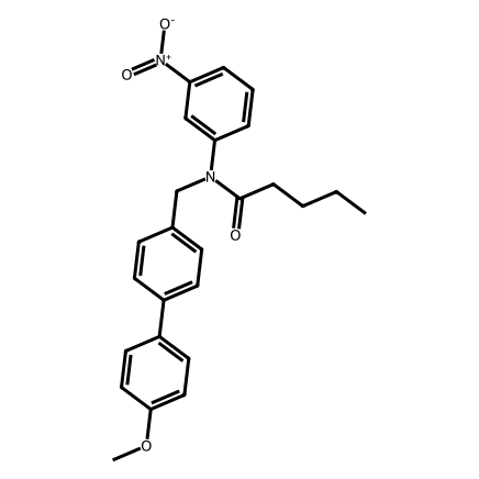 CCCCC(=O)N(Cc1ccc(-c2ccc(OC)cc2)cc1)c1cccc([N+](=O)[O-])c1